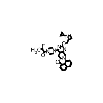 C=C(F)C(=O)N1CCN(c2nc(OCC3CCN3C3CC3)nc3c2CCN(c2cccc4cccc(Cl)c24)C3)CC1